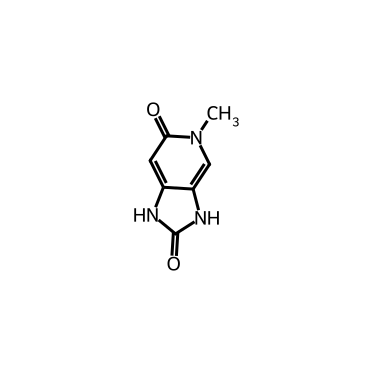 Cn1cc2[nH]c(=O)[nH]c2cc1=O